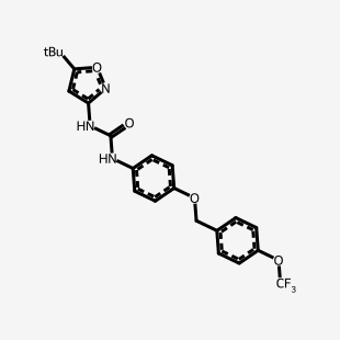 CC(C)(C)c1cc(NC(=O)Nc2ccc(OCc3ccc(OC(F)(F)F)cc3)cc2)no1